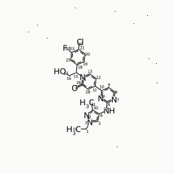 CCn1cc(Nc2nccc(-c3ccn(C(CO)c4ccc(Cl)c(F)c4)c(=O)c3)n2)c(C)n1